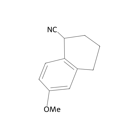 COc1ccc2c(c1)CCCC2C#N